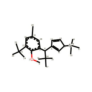 COc1c(C(C2=CC([Si](C)(C)C)C=C2)C(C)(C)C)cc(C)cc1C(C)(C)C